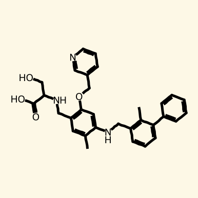 Cc1cc(CNC(CO)C(=O)O)c(OCc2cccnc2)cc1NCc1cccc(-c2ccccc2)c1C